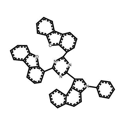 c1ccc(-n2cc(-c3nc(-c4cccc5c4oc4ccccc45)nc(-c4cccc5c4oc4ccccc45)n3)c3c4ccccc4ccc32)cc1